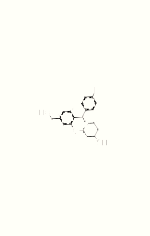 CC1CCN(C(c2ccc(F)cc2)c2ccc(CO)cc2O)CC1